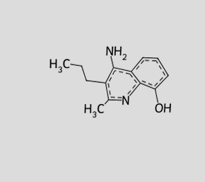 CCCc1c(C)nc2c(O)cccc2c1N